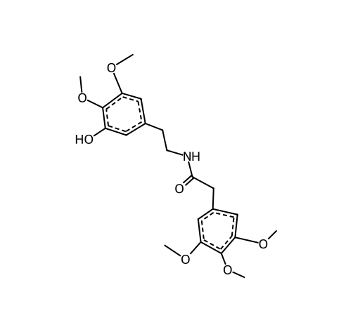 COc1cc(CCNC(=O)Cc2cc(OC)c(OC)c(OC)c2)cc(O)c1OC